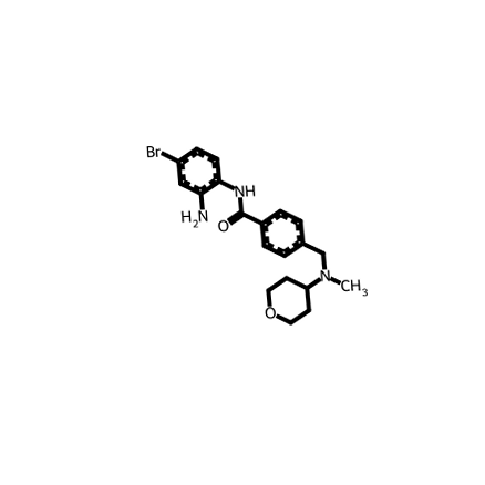 CN(Cc1ccc(C(=O)Nc2ccc(Br)cc2N)cc1)C1CCOCC1